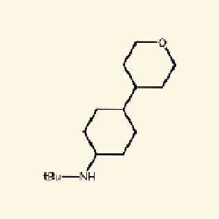 CC(C)(C)NC1CCC(C2CCOCC2)CC1